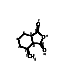 C=C1CCCC2C(=O)OC(=O)C12